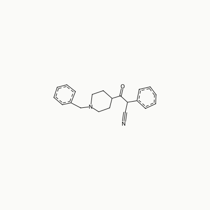 N#CC(C(=O)C1CCN(Cc2ccccc2)CC1)c1ccccc1